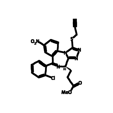 C#CCSc1nnc2n1-c1ccc([N+](=O)[O-])cc1C(c1ccccc1Cl)=N[C@H]2CCC(=O)OC